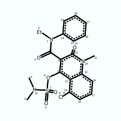 CCN(C(=O)c1c(OS(=O)(=O)N(C)C)c2c(Cl)cccc2n(C)c1=O)c1ccccc1